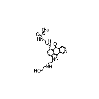 CC(C)(C)OC(=O)NCCNc1ccc2c3c(nn2CCNCCO)-c2cnccc2C(=O)c13